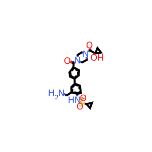 NCc1cc(-c2ccc(C(=O)N3CCN(C(=O)C4(O)CC4)CC3)cc2)ccc1NS(=O)(=O)C1CC1